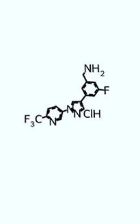 Cl.NCc1cc(F)cc(-c2cnn(-c3ccc(C(F)(F)F)nc3)c2)c1